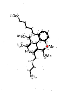 CCCCCCCCCCCCCCCc1cccc(OC)c1C1C(C(=O)OC)=C(C)NC(COCCN)=C1C(=O)OC